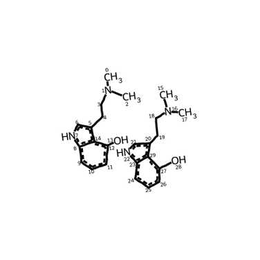 CN(C)CCc1c[nH]c2cccc(O)c12.CN(C)CCc1c[nH]c2cccc(O)c12